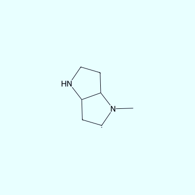 CN1[CH]CC2NCCC21